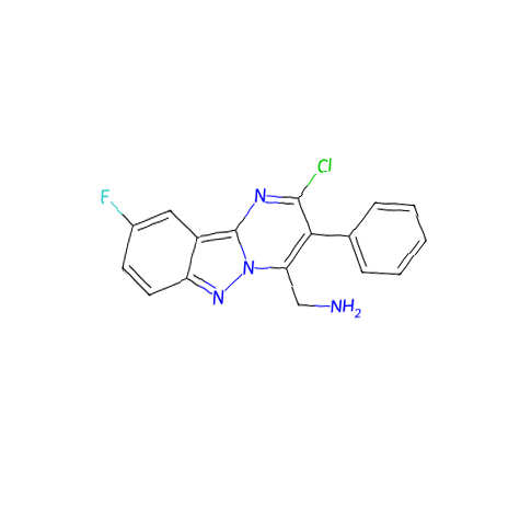 NCc1c(-c2ccccc2)c(Cl)nc2c3cc(F)ccc3nn12